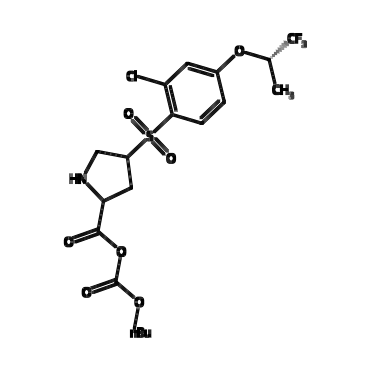 CCCCOC(=O)OC(=O)C1CC(S(=O)(=O)c2ccc(O[C@@H](C)C(F)(F)F)cc2Cl)CN1